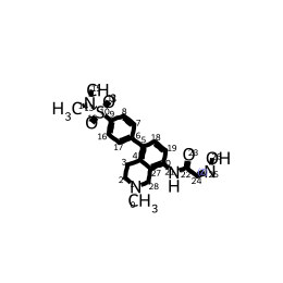 CN1CCc2c(-c3ccc(S(=O)(=O)N(C)C)cc3)ccc(NC(=O)/C=N\O)c2C1